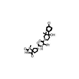 CC(C)C(NC(=O)[C@@H]1CCC2(C1)C(=O)NC(=O)N2C)C(=O)N1CCC(O)(c2ccc(Cl)cc2)C(C)(C)C1